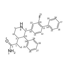 CC(C(N)=O)C1CCNC(c2ccc(-c3ccccc3)c(F)c2)C1c1ccccc1